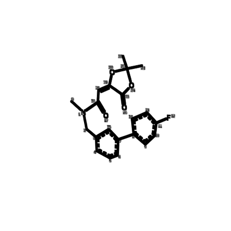 CN(Cc1cccc(-c2ccc(F)cc2)c1)C(=O)C=C1OC(C)(C)OC1=O